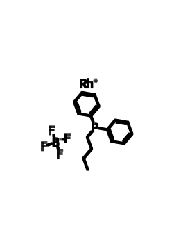 CCCCP(c1ccccc1)c1ccccc1.F[B-](F)(F)F.[Rh+]